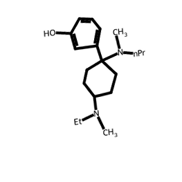 CCCN(C)C1(c2cccc(O)c2)CCC(N(C)CC)CC1